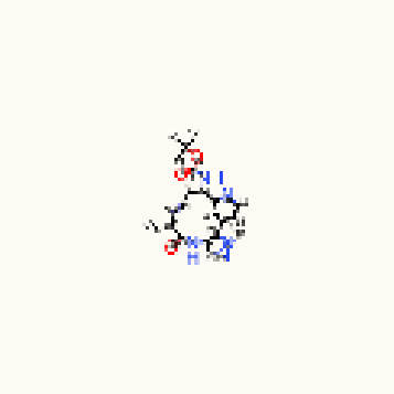 CC[C@@H]1/C=C/CC(NC(=O)OC(C)(C)C)c2cc(ccn2)-c2c(cnn2C)NC1=O